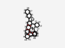 c1ccc(-c2ccccc2N(c2ccccc2-c2cccc3c2oc2cc4ccccc4cc23)c2ccccc2-n2c3ccccc3c3ccccc32)cc1